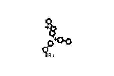 CCCCc1cccc(-c2ccc(N(c3ccc(-c4ccccc4)cc3)c3ccc4c5c(ccc4c3)-c3ccccc3C5(C)C)cc2)c1